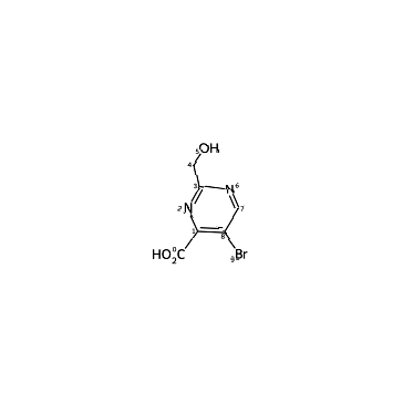 O=C(O)c1nc(CO)ncc1Br